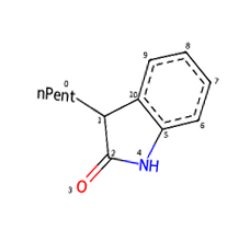 CCCCCC1C(=O)Nc2ccccc21